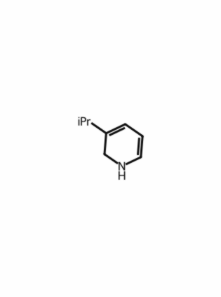 CC(C)C1=CC=CNC1